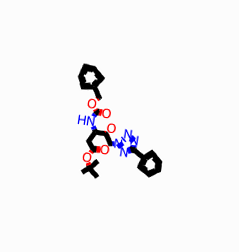 CC(C)(C)OC(=O)CC(NC(=O)OCc1ccccc1)C(=O)Cn1nnc(-c2ccccc2)n1